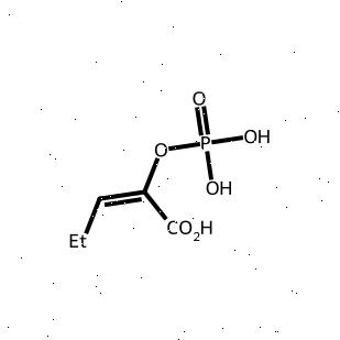 CC/C=C(/OP(=O)(O)O)C(=O)O